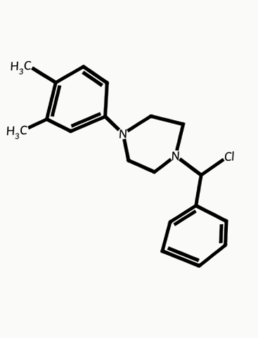 Cc1ccc(N2CCN(C(Cl)c3ccccc3)CC2)cc1C